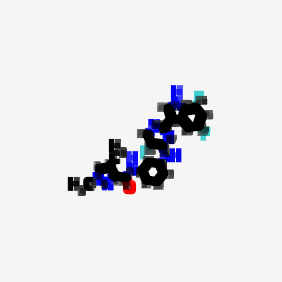 Cc1cn(C)nc1C(=O)N[C@@H]1CCC[C@H](Nc2nc(-c3c[nH]c4c(F)cc(F)cc34)ncc2F)C1